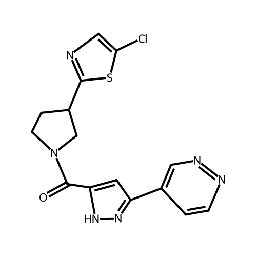 O=C(c1cc(-c2ccnnc2)n[nH]1)N1CCC(c2ncc(Cl)s2)C1